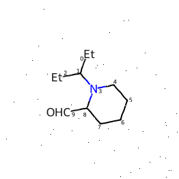 CCC(CC)N1CCCCC1C=O